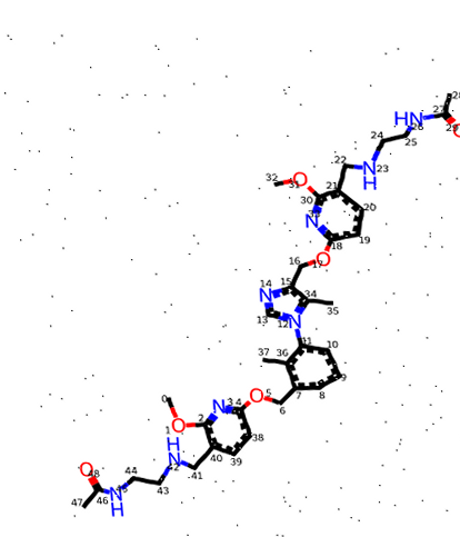 COc1nc(OCc2cccc(-n3cnc(COc4ccc(CNCCNC(C)=O)c(OC)n4)c3C)c2C)ccc1CNCCNC(C)=O